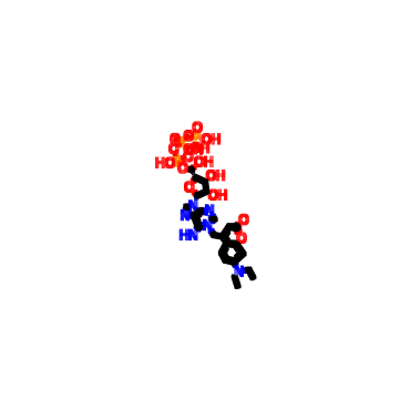 CCN(CC)c1ccc2c(Cn3cnc4c(ncn4[C@@H]4O[C@H](C(O)OP(=O)(O)OP(=O)(O)OP(=O)(O)O)[C@@H](O)[C@H]4O)c3=N)cc(=O)oc2c1